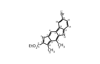 CCOC(=O)C1=Nc2cc3c(c(C)c2=C1C)N=c1ccc(Br)cc1=3